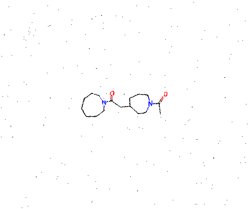 CC(=O)N1CCCC(CC(=O)N2CCCCCCC2)CC1